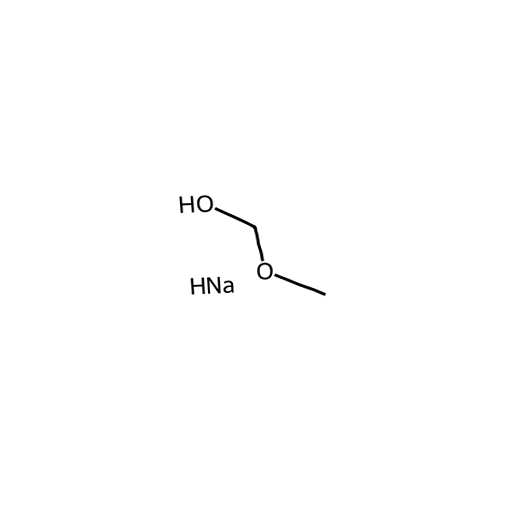 COCO.[NaH]